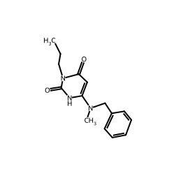 CCCn1c(=O)cc(N(C)Cc2ccccc2)[nH]c1=O